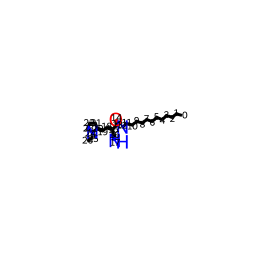 CCCCCCCCCCCCNC(=O)/C(C#N)=C/C=C1\CCCN1CC